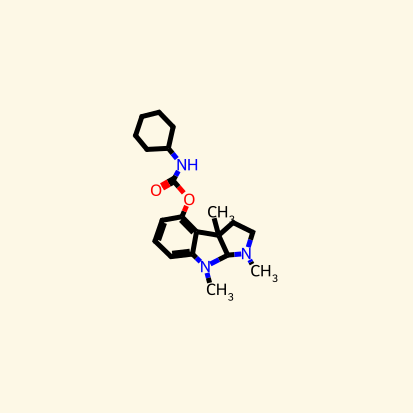 CN1CCC2(C)c3c(OC(=O)NC4CCCCC4)cccc3N(C)C12